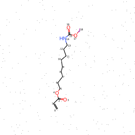 C=CC(=O)OCCCCCCCCCNC(=O)OI